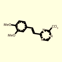 COc1ccc(C=Cc2ncnc(C(Cl)(Cl)Cl)n2)cc1OC